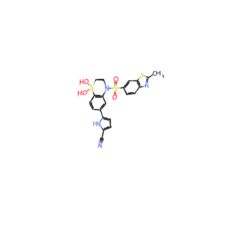 Cc1nc2ccc(S(=O)(=O)N3CCS(O)(O)c4ccc(-c5ccc(C#N)[nH]5)cc43)cc2s1